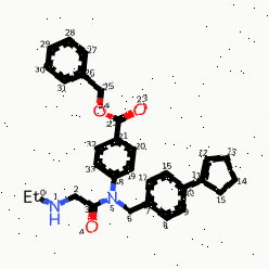 CCNCC(=O)N(Cc1ccc(C2=CCCC2)cc1)c1ccc(C(=O)OCc2ccccc2)cc1